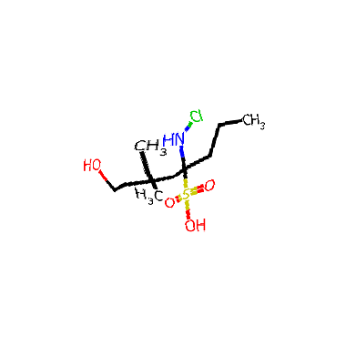 CCCC(NCl)(C(C)(C)CO)S(=O)(=O)O